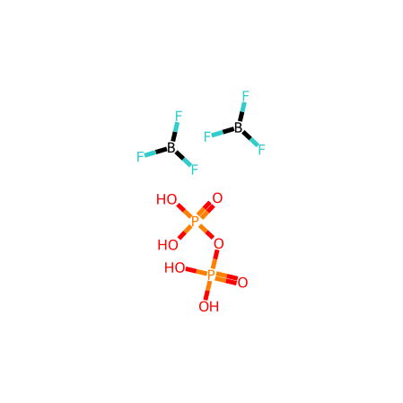 FB(F)F.FB(F)F.O=P(O)(O)OP(=O)(O)O